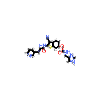 Cn1cnc(CNC(=O)OC2CCc3c(sc(NC(=O)/C=C/c4cccnc4)c3C#N)C2)c1